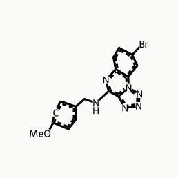 COc1ccc(CNc2nc3ccc(Br)cc3n3nnnc23)cc1